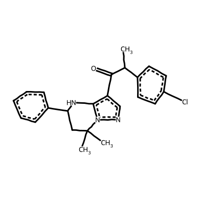 CC(C(=O)c1cnn2c1NC(c1ccccc1)CC2(C)C)c1ccc(Cl)cc1